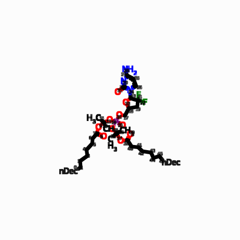 CCCCCCCCCCCCCCCCC(=O)OC(C)(C)OP(=O)(OCC1CC(F)(F)C(n2ccc(N)nc2=O)O1)OC(C)(C)OC(=O)CCCCCCCCCCCCCCCC